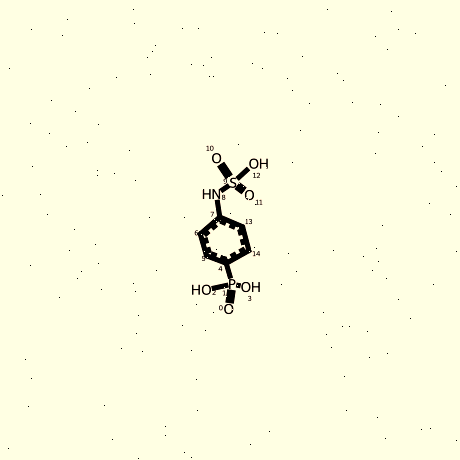 O=P(O)(O)c1ccc(NS(=O)(=O)O)cc1